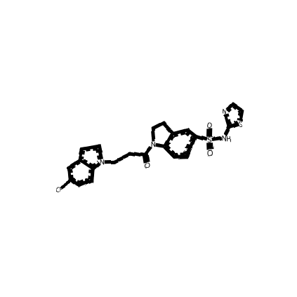 O=C(CCn1ccc2cc(Cl)ccc21)N1CCc2cc(S(=O)(=O)Nc3nccs3)ccc21